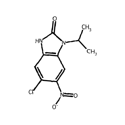 CC(C)n1c(=O)[nH]c2cc(Cl)c([N+](=O)[O-])cc21